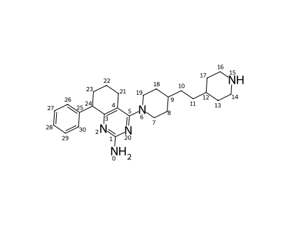 Nc1nc2c(c(N3CCC(CCC4CCNCC4)CC3)n1)CCCC2c1ccccc1